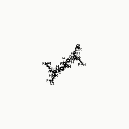 CCN(CC)CCCNC(=O)c1cc(NC(=O)c2ccc(C3=C4C(=O)NC(c5ccc(C(=O)Nc6cc(C(=O)NCCCN(CC)CC)cc(C(=O)NCCCN(CC)CC)c6)cc5)=C4C(=O)N3)cc2)cc(C(=O)NCCCN(CC)CC)c1